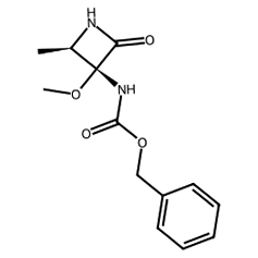 CO[C@@]1(NC(=O)OCc2ccccc2)C(=O)N[C@@H]1C